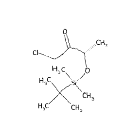 C[C@H](O[Si](C)(C)C(C)(C)C)C(=O)CCl